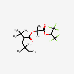 CCC(C)(C)CC(C(=O)OC(C)(C)C(=O)OC(C(F)(F)F)C(F)(F)F)C(C)(C)C